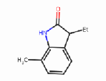 CCC1C(=O)Nc2c(C)cccc21